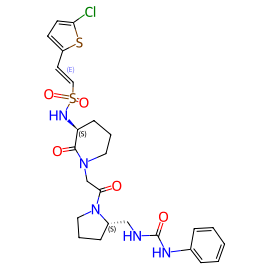 O=C(NC[C@@H]1CCCN1C(=O)CN1CCC[C@H](NS(=O)(=O)/C=C/c2ccc(Cl)s2)C1=O)Nc1ccccc1